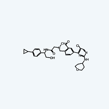 CN(CC(=O)NC(CO)c1ccc(C2CC2)cc1)Cc1ccc(-c2nc(NC3CCOCC3)ncc2Cl)cc1C=O